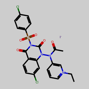 CC[n+]1cccc(N(C(C)=O)n2c(=O)n(S(=O)(=O)c3ccc(Cl)cc3)c(=O)c3ccc(Cl)cc32)c1.[I-]